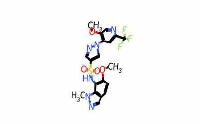 COc1cnc(C(F)(F)F)cc1-n1cc(S(=O)(=O)Nc2c(OC)ccc3cnn(C)c23)cn1